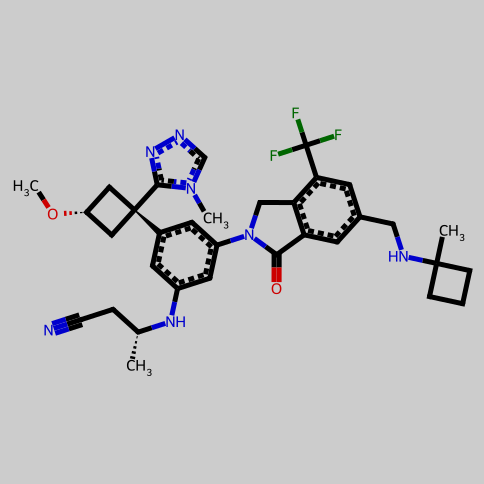 CO[C@H]1C[C@@](c2cc(N[C@H](C)CC#N)cc(N3Cc4c(cc(CNC5(C)CCC5)cc4C(F)(F)F)C3=O)c2)(c2nncn2C)C1